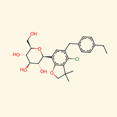 CCc1ccc(Cc2cc([C@@H]3O[C@H](CO)[C@@H](O)[C@H](O)[C@H]3O)c3c(c2Cl)C(C)(C)CO3)cc1